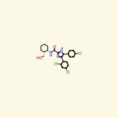 Cn1c(C(=O)N[C@H]2CCCC[C@H]2CO)nc(-c2ccc(Cl)cc2Cl)c1-c1ccc(Cl)cc1